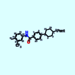 CCCC(C)C1CCC(c2ccc(C(=O)Nc3ccc(C)c(C(F)(F)F)c3)cc2)CC1